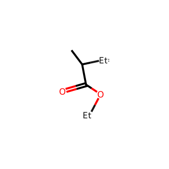 C[C]C(C)C(=O)OCC